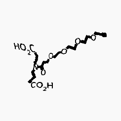 C#CCOCCOCCOCCOCCC(=O)N(CCCC(=O)O)CCC(=O)O